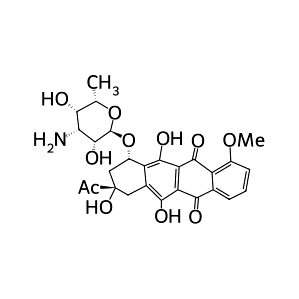 COc1cccc2c1C(=O)c1c(O)c3c(c(O)c1C2=O)C[C@@](O)(C(C)=O)C[C@@H]3O[C@@H]1O[C@@H](C)[C@@H](O)[C@@H](N)[C@H]1O